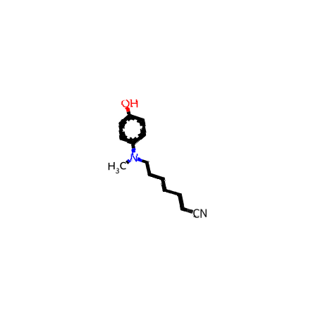 CN(CCCCCCC#N)c1ccc(O)cc1